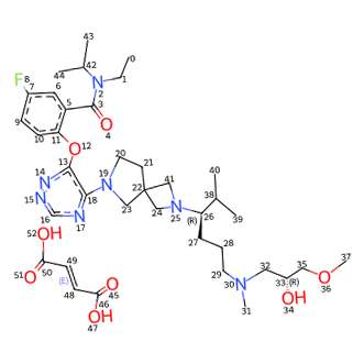 CCN(C(=O)c1cc(F)ccc1Oc1nncnc1N1CCC2(C1)CN([C@H](CCCN(C)C[C@@H](O)COC)C(C)C)C2)C(C)C.O=C(O)/C=C/C(=O)O